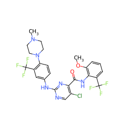 COc1cccc(C(F)(F)F)c1NC(=O)c1nc(Nc2ccc(N3CCN(C)CC3)c(C(F)(F)F)c2)ncc1Cl